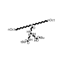 CCCCCCCCC=CCCCCCCCCN(CCCCCCCCC=CCCCCCCCC)C(=O)CCNC(=NCCNC(=O)OC(C)(C)C)NCCNC(=O)OC(C)(C)C